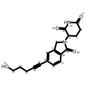 O=C1CCC(N2Cc3cc(C#CCCCO)ccc3C2=O)C(=O)N1